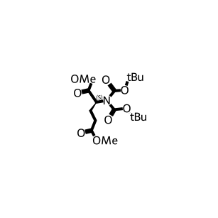 COC(=O)CC[C@@H](C(=O)OC)N(C(=O)OC(C)(C)C)C(=O)OC(C)(C)C